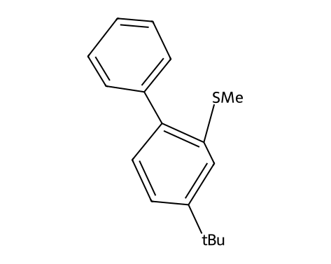 CSc1cc(C(C)(C)C)ccc1-c1ccccc1